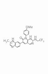 COc1ccc(-n2c3c(cc(-c4ccc5c(c4)N[C@@H](C)C=N5)c2=O)C=NC(NCC(F)(F)F)N3)cc1